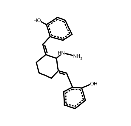 NNC1C(=Cc2ccccc2O)CCCC1=Cc1ccccc1O